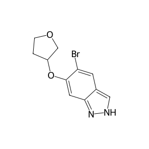 Brc1cc2c[nH]nc2cc1OC1CCOC1